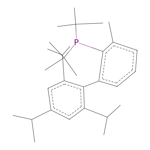 Cc1cccc(-c2c(C(C)C)cc(C(C)C)cc2C(C)C)c1P(C(C)(C)C)C(C)(C)C